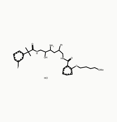 COCCCCOc1ccccc1C(=O)NCC(CC(N)C(O)CNC(=O)C(C)(C)c1cccc(F)c1)C(C)C.Cl